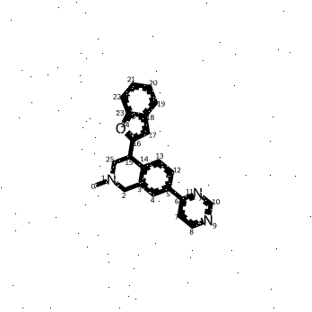 CN1Cc2cc(-c3ccncn3)ccc2C(c2cc3ccccc3o2)C1